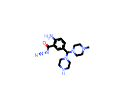 CN1CCN(C(c2ccc(N)c(C(=O)N=[N+]=[N-])c2)N2CCNCC2)CC1